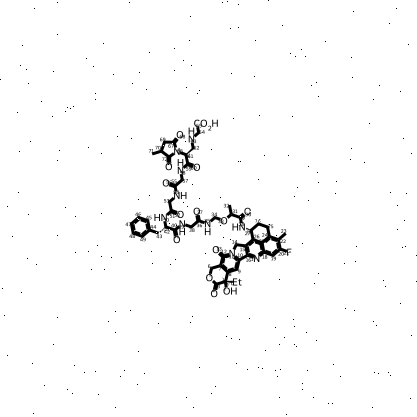 CC[C@@]1(O)C(=O)OCc2c1cc1n(c2=O)Cc2c-1nc1cc(F)c(C)c3c1c2[C@H](NC(=O)C(C)OCNC(=O)CNC(=O)[C@H](Cc1ccccc1)NC(=O)CNC(=O)CNC(=O)[C@H](CNCC(=O)O)N1C(=O)CC(C)C1=O)CC3